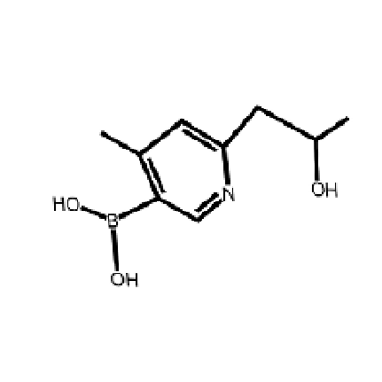 Cc1cc(CC(C)O)ncc1B(O)O